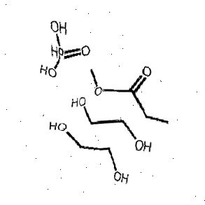 CCC(=O)OC.O=[PH](O)O.OCCO.OCCO